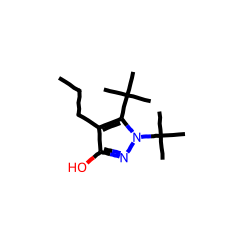 CCCc1c(O)nn(C(C)(C)C)c1C(C)(C)C